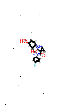 O=C(Nc1ccc(F)cc1)C1(C(O)Nc2ccc(O)cc2)CC1